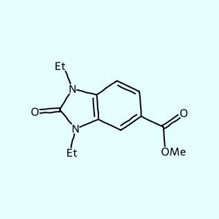 CCn1c(=O)n(CC)c2cc(C(=O)OC)ccc21